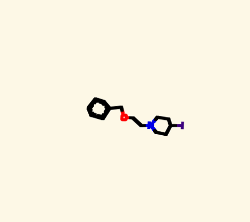 IC1CCN(CCOCc2ccccc2)CC1